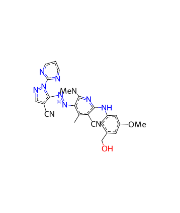 CNc1nc(Nc2cc(CO)cc(OC)c2)c(C#N)c(C)c1/N=N/c1c(C#N)cnn1-c1ncccn1